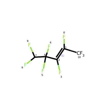 F/C(=C(/F)C(F)(F)C(F)F)C(F)(F)F